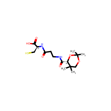 CC1(C)OCC(C)(C)[C@H](C(=O)NCCC(=O)N[C@@H](CS)C(=O)O)O1